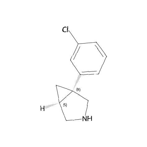 Clc1cccc([C@]23CNC[C@H]2C3)c1